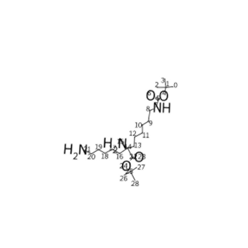 CC(C)(C)OC(=O)NCCCCCCC(N)(CCCCCN)C(=O)OC(C)(C)C